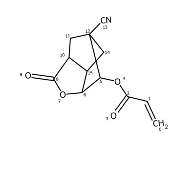 C=CC(=O)OC1C2OC(=O)C3CC1(C#N)CC32